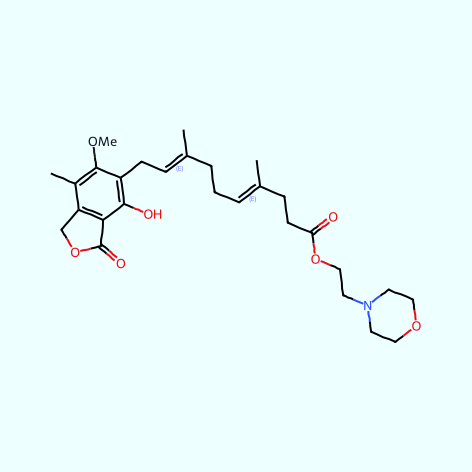 COc1c(C)c2c(c(O)c1C/C=C(\C)CC/C=C(\C)CCC(=O)OCCN1CCOCC1)C(=O)OC2